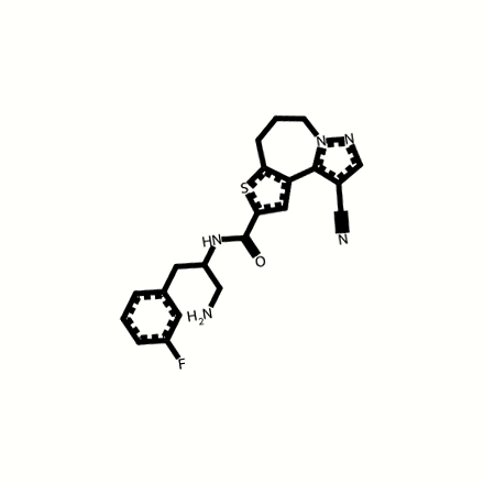 N#Cc1cnn2c1-c1cc(C(=O)NC(CN)Cc3cccc(F)c3)sc1CCC2